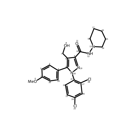 COc1ccc(-c2c(CO)c(C(=O)NN3CCCCC3)nn2-c2ccc(Cl)cc2Cl)cc1